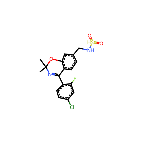 CC1(C)N=C(c2ccc(Cl)cc2F)c2ccc(CN[SH](=O)=O)cc2O1